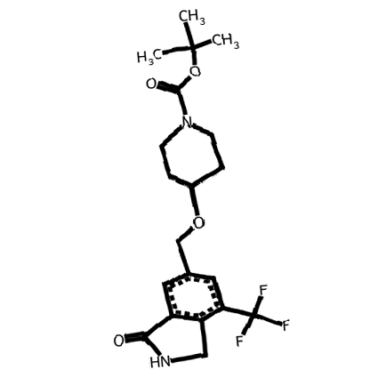 CC(C)(C)OC(=O)N1CCC(OCc2cc3c(c(C(F)(F)F)c2)CNC3=O)CC1